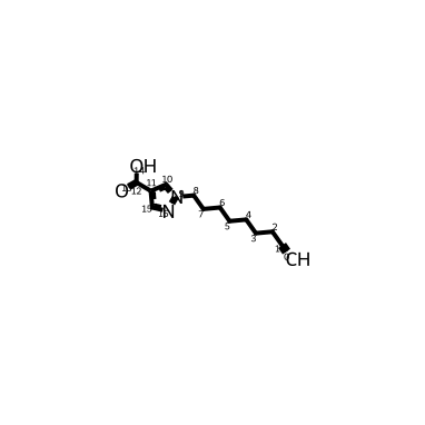 C#CCCCCCCCn1cc(C(=O)O)cn1